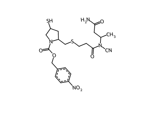 CC(CC(N)=O)N(C#N)C(=O)CCSCC1CC(S)CN1C(=O)OCc1ccc([N+](=O)[O-])cc1